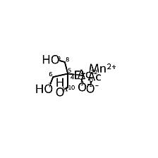 CC(=O)[O-].CC(=O)[O-].CCC(CO)(CO)CO.[Mn+2]